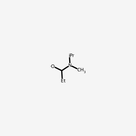 CCC([O])N(C)C(C)C